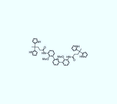 COc1c(NC(=O)CCC(C)(c2ccc[nH]2)c2ccc[nH]2)cccc1-c1cccc(-c2cccc(NC(=O)CCC(C)(c3ccc[nH]3)c3ccc[nH]3)c2OC)n1